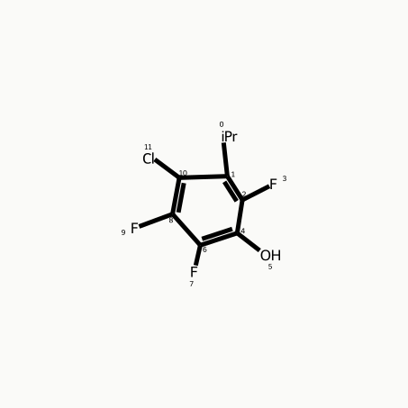 CC(C)c1c(F)c(O)c(F)c(F)c1Cl